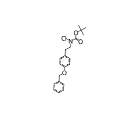 CC(C)(C)OC(=O)N(Cl)CCc1ccc(OCc2ccccc2)cc1